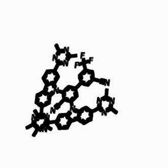 Cc1nc(C)nc(-c2ccc3c4ccc(-c5nc(C)nc(C)n5)cc4n(-c4cc(-c5cc(C#N)cc(C(F)(F)F)c5)cc(-n5c6cc(-c7nc(C)nc(C)n7)ccc6c6ccc(-c7nc(C)nc(C)n7)cc65)c4C#N)c3c2)n1